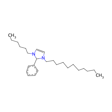 CCCCCCCCCCCN1C=CN(CCCCCC)C1c1ccccc1